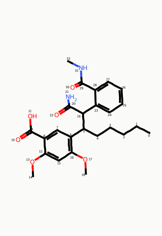 CCCCCC(c1cc(C(=O)O)c(OC)cc1OC)C(C(N)=O)c1ccccc1C(=O)NC